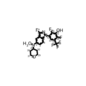 CN(c1ccc2c(c1)c(F)nn2-c1cc(C(F)(F)F)c(F)c(O)c1F)C1CCOCC1